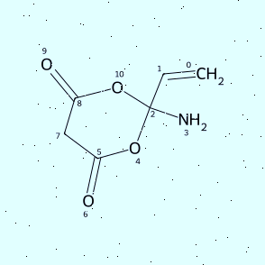 C=CC1(N)OC(=O)CC(=O)O1